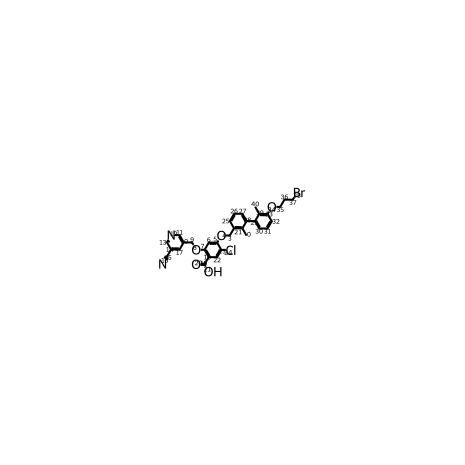 Cc1c(COc2cc(OCc3cncc(C#N)c3)c(C(=O)O)cc2Cl)cccc1-c1cccc(OCCCBr)c1C